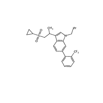 CC(C)Cn1cc(C(C)CS(=O)(=O)C2CC2)c2ccc(-c3ccccc3C(F)(F)F)cc21